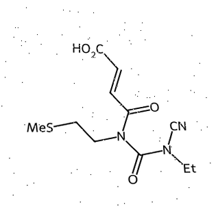 CCN(C#N)C(=O)N(CCSC)C(=O)C=CC(=O)O